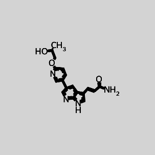 C[C@H](O)COc1ccc(-c2cnc3[nH]cc(C=CC(N)=O)c3c2)cn1